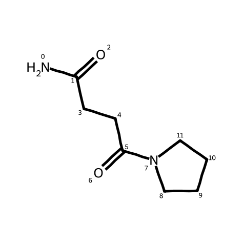 NC(=O)CCC(=O)N1CCCC1